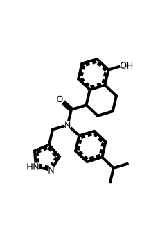 CC(C)c1ccc(N(Cc2cn[nH]c2)C(=O)C2CCCc3c(O)cccc32)cc1